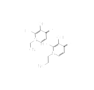 Cc1c(O)c(=O)ccn1CC#N.Cc1c(O)c(=O)ccn1CCC#N